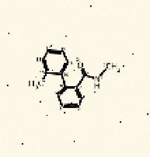 CNC(=O)c1ccccc1-c1ccccc1C